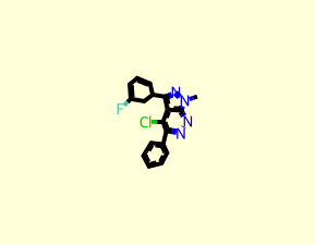 Cn1nc(C2C=CC=C(F)C2)c2c(Cl)c(-c3ccccc3)nnc21